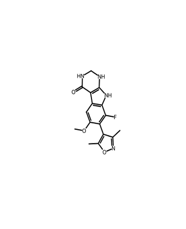 COc1cc2c3c([nH]c2c(F)c1-c1c(C)noc1C)NCNC3=O